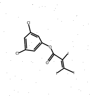 O=C(Oc1cc(Cl)cc(Cl)c1)C(I)=C(I)I